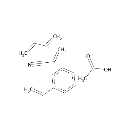 C=CC#N.C=CC=C.C=Cc1ccccc1.CC(=O)O